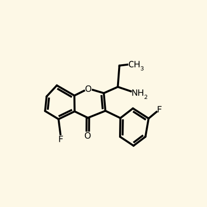 CCC(N)c1oc2cccc(F)c2c(=O)c1-c1cccc(F)c1